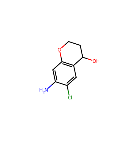 Nc1cc2c(cc1Cl)C(O)CCO2